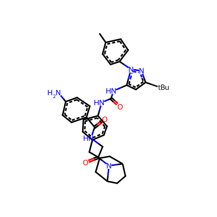 Cc1ccc(-n2nc(C(C)(C)C)cc2NC(=O)Nc2ccc(CC3CC4CCC(C3)N4C(=O)CNC(=O)c3ccc(N)cc3)cc2)cc1